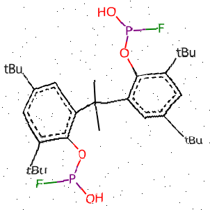 CC(C)(C)c1cc(C(C)(C)C)c(OP(O)F)c(C(C)(C)c2cc(C(C)(C)C)cc(C(C)(C)C)c2OP(O)F)c1